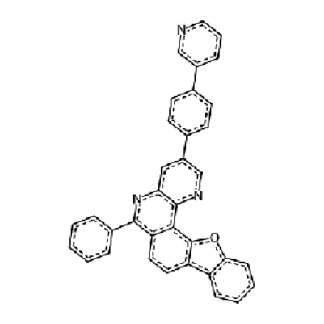 c1ccc(-c2nc3cc(-c4ccc(-c5cccnc5)cc4)cnc3c3c2ccc2c4ccccc4oc23)cc1